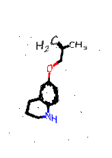 C=C(C)COc1ccc2c(c1)CCCN2